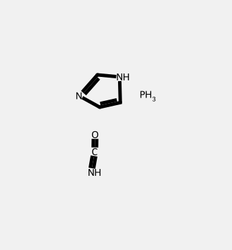 N=C=O.P.c1c[nH]cn1